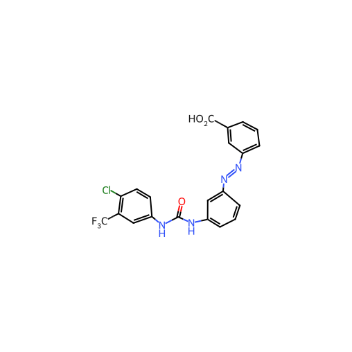 O=C(Nc1cccc(N=Nc2cccc(C(=O)O)c2)c1)Nc1ccc(Cl)c(C(F)(F)F)c1